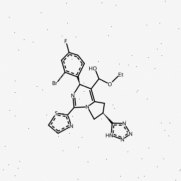 CCOC(O)C1=C2C[C@@H](c3nnn[nH]3)CN2C(c2nccs2)=N[C@H]1c1ccc(F)cc1Br